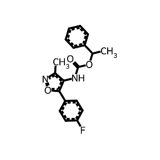 Cc1noc(-c2ccc(F)cc2)c1NC(=O)OC(C)c1ccccc1